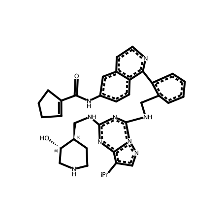 CC(C)c1cnn2c(NCc3ccccc3-c3nccc4cc(NC(=O)C5=CCCC5)ccc34)nc(NC[C@H]3CCNC[C@@H]3O)nc12